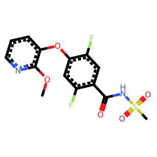 COc1ncccc1Oc1cc(F)c(C(=O)NS(C)(=O)=O)cc1F